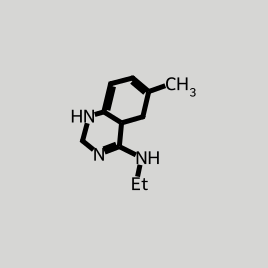 CCNC1=NCNC2=CC=C(C)CC21